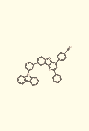 N#Cc1ccc(-c2nc(-c3ccccc3)nc3c2oc2ccc(-c4cccc(-n5c6ccccc6c6ccccc65)c4)cc23)cc1